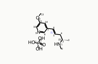 CN[C@@H](C)C/C=C/c1cncc(OC)c1.O=P(O)(O)O